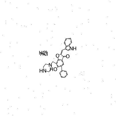 Cl.Cl.O=C1C(=Cc2c[nH]c3ccccc23)Oc2c1cc(-c1ccccc1)c(O)c2CN1CCNCC1